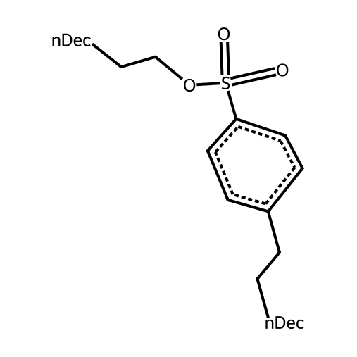 CCCCCCCCCCCCOS(=O)(=O)c1ccc(CCCCCCCCCCCC)cc1